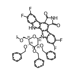 O=C1NC(=O)c2c1c1c3cc(F)c(F)cc3[nH]c1c1c2c2cc(F)c(F)cc2n1[C@@H]1O[C@H](COI)[C@@H](OCc2ccccc2)[C@H](OCc2ccccc2)[C@H]1OCc1ccccc1